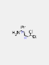 CCC(Cl)/C=C\C=C(/N)C(C)C